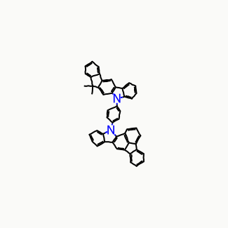 CC1(C)c2ccccc2-c2cc3c4ccccc4n(-c4ccc(-n5c6ccccc6c6cc7c8c(cccc8c65)-c5ccccc5-7)cc4)c3cc21